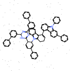 C1=CC(C2=NC(c3cccc(-c4ccccc4)c3)=NC(c3cccc(-c4ccccc4)c3)N2)C(n2c3c(c4ccccc42)C(c2cccc4c2c2ccc(-c5ccccc5)cc2n4-c2ccccc2)=CCC3)C=C1c1ccccc1